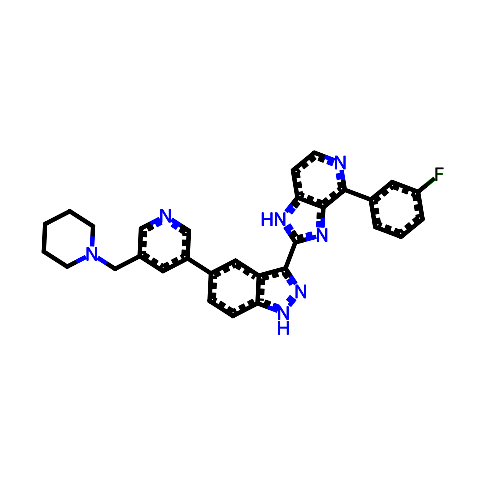 Fc1cccc(-c2nccc3[nH]c(-c4n[nH]c5ccc(-c6cncc(CN7CCCCC7)c6)cc45)nc23)c1